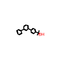 CC(C)(O)c1ccc(-c2cccc(-c3ccccc3)c2)cc1